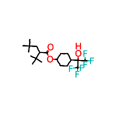 CC(C)(C)CC(C(=O)OC1CCC(C(O)(C(F)(F)F)C(F)(F)F)CC1)C(C)(C)C